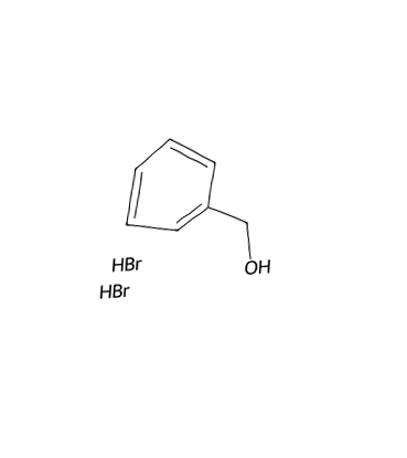 Br.Br.OCc1ccccc1